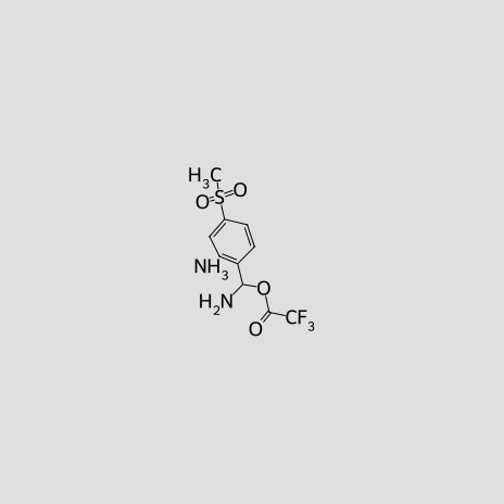 CS(=O)(=O)c1ccc(C(N)OC(=O)C(F)(F)F)cc1.N